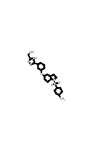 Cc1ccc(S(=O)(=O)n2ccc3cc(Oc4cccc(-c5nnc(CO)[nH]5)c4)ccc32)cc1